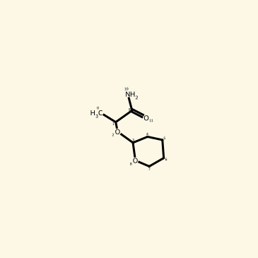 CC(OC1CCCCO1)C(N)=O